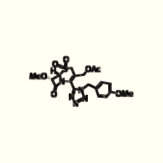 COc1ccc(Cn2nnnc2C2=C(COC(C)=O)CS(=O)(=O)[C@H]3[C@@H](OC)C(=O)N23)cc1